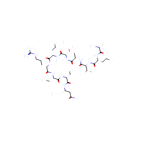 CC(C)C[C@H](NC(=O)[C@H](CC(C)C)NC(=O)[C@H](CCCNC(=N)N)NC(=O)[C@H](CCC(=O)O)NC(=O)[C@H](CO)NC(=O)[C@@H](NC(=O)[C@@H](NC(=O)[C@H](CCC(=O)O)NC(=O)[C@H](C)N)[C@@H](C)O)[C@@H](C)O)C(=O)N[C@@H](CC(N)=O)C(=O)O